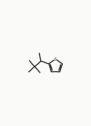 CC(c1cccs1)C(C)(C)C